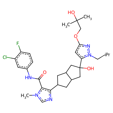 CC(C)Cn1nc(OCC(C)(C)O)cc1C1(O)CC2CC(c3ncn(C)c3C(=O)Nc3ccc(F)c(Cl)c3)CC2C1